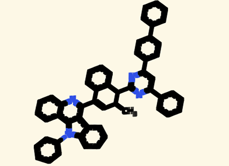 CC1C=C(c2nc3ccccc3c3c2c2ccccc2n3-c2ccccc2)c2ccccc2C1c1nc(-c2ccccc2)cc(-c2ccc(-c3ccccc3)cc2)n1